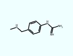 CNCc1ccc(NC(=N)N)cc1